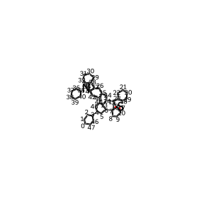 c1ccc(-c2cc(-c3ccccc3)c3c(-c4csc5ccccc45)cc4cc5c6ccccc6n(-c6ccccc6)c5cc4c3c2)cc1